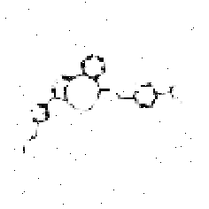 COCc1cc(C2=NN=C3CC2CC/N=C(/OCc2ccc(C(=O)O)cn2)c2ccccc23)no1